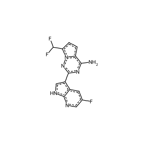 Nc1nc(-c2c[nH]c3ncc(F)cc23)nn2c(C(F)F)ccc12